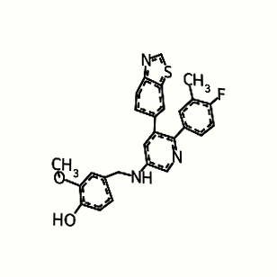 COc1cc(CNc2cnc(-c3ccc(F)c(C)c3)c(-c3ccc4ncsc4c3)c2)ccc1O